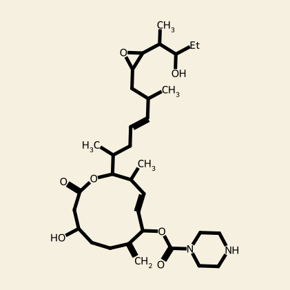 C=C1CCC(O)CC(=O)OC(C(C)C/C=C/C(C)CC2OC2C(C)C(O)CC)C(C)/C=C/C1OC(=O)N1CCNCC1